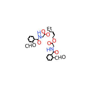 CCC(/C=C\COC(=O)CNC(=O)c1ccccc1C=O)OC(=O)CNC(=O)c1ccccc1C=O